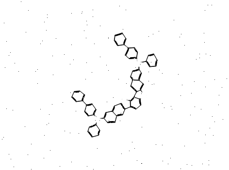 c1ccc(-c2ccc(N(c3ccccc3)c3ccc4cc5c(cc4c3)oc3c5ccc4oc5cc6cc(N(c7ccccc7)c7ccc(-c8ccccc8)cc7)ccc6cc5c43)cc2)cc1